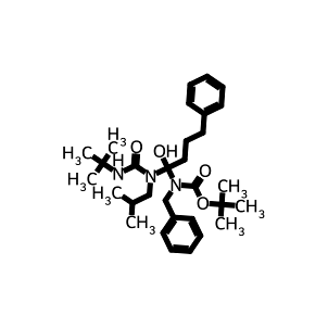 CC(C)CN(C(=O)NC(C)(C)C)C(O)(CCCc1ccccc1)N(Cc1ccccc1)C(=O)OC(C)(C)C